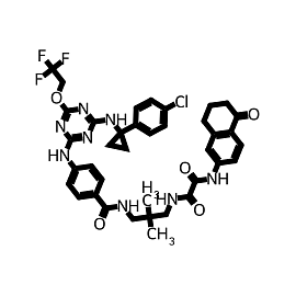 CC(C)(CNC(=O)C(=O)Nc1ccc2c(c1)CCCC2=O)CNC(=O)c1ccc(Nc2nc(NC3(c4ccc(Cl)cc4)CC3)nc(OCC(F)(F)F)n2)cc1